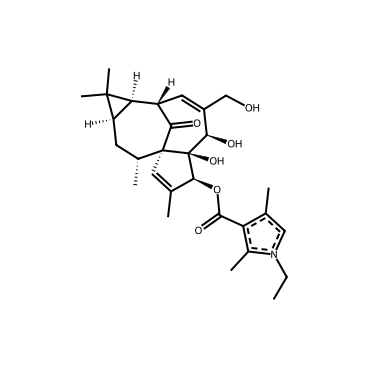 CCn1cc(C)c(C(=O)O[C@H]2C(C)=C[C@]34C(=O)[C@@H](C=C(CO)[C@@H](O)[C@]23O)[C@H]2[C@@H](C[C@H]4C)C2(C)C)c1C